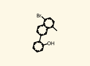 Cc1ccc(Br)c2ccc(-c3ccccc3O)cc12